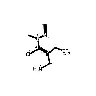 C=NN(C)/C(Cl)=C(/CN)CC(F)(F)F